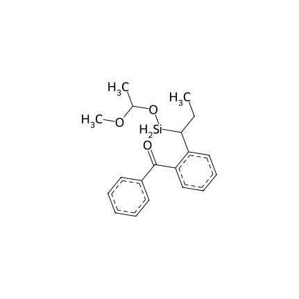 CCC([SiH2]OC(C)OC)c1ccccc1C(=O)c1ccccc1